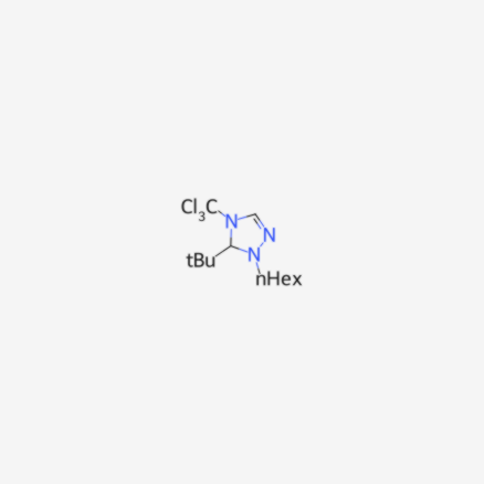 CCCCCCN1N=CN(C(Cl)(Cl)Cl)C1C(C)(C)C